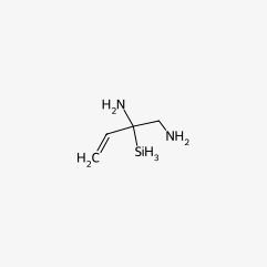 C=CC(N)([SiH3])CN